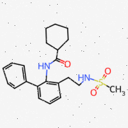 CS(=O)(=O)NCCc1cccc(-c2ccccc2)c1NC(=O)C1CCCCC1